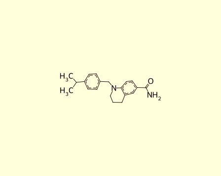 CC(C)c1ccc(CN2CCCc3cc(C(N)=O)ccc32)cc1